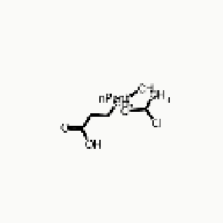 CC(Cl)Cl.CCCC(=O)O.CCCCCC